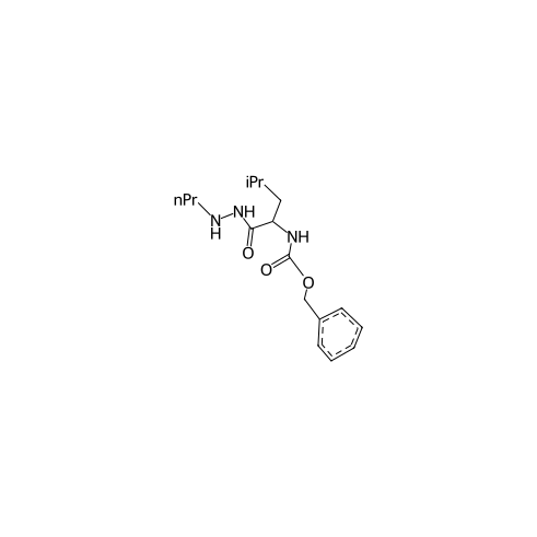 CCCNNC(=O)C(CC(C)C)NC(=O)OCc1ccccc1